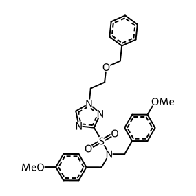 COc1ccc(CN(Cc2ccc(OC)cc2)S(=O)(=O)c2ncn(CCOCc3ccccc3)n2)cc1